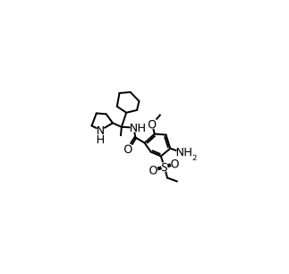 CCS(=O)(=O)c1cc(C(=O)NC(C)(C2CCCCC2)C2CCCN2)c(OC)cc1N